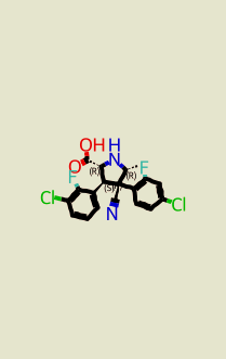 C[C@H]1N[C@@H](C(=O)O)[C@H](c2cccc(Cl)c2F)[C@@]1(C#N)c1ccc(Cl)cc1F